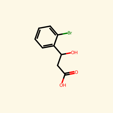 O=C(O)CC(O)c1ccccc1Br